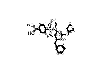 CC(C)CN(C[C@@H](O)C(Cc1ccccc1)NC(=O)O[C@H]1CCOC1)S(=O)(=O)c1ccc(B(O)O)cc1